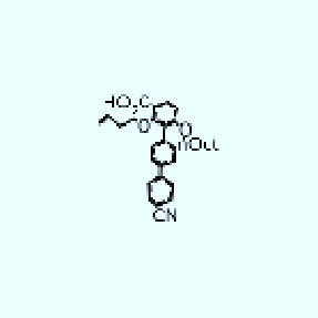 C=CCCOc1c(C(=O)O)ccc(OCCCCCCCC)c1-c1ccc(-c2ccc(C#N)cc2)cc1